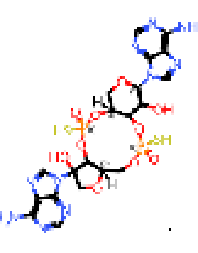 Nc1ncnc2c1ncn2[C@@H]1OC[C@H]2O[P@](=O)(S)OC3[C@H](CO[P@](=O)(S)OC2C1O)OCC3(O)n1cnc2c(N)ncnc21